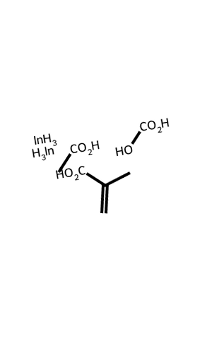 C=C(C)C(=O)O.CC(=O)O.O=C(O)O.[InH3].[InH3]